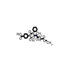 CCOC(=O)CNC(=O)/C(C)=C(\O)N(C(=O)N(C=O)C1CCC(C(=O)O)CC1)C1CCCCC1